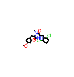 COc1ccc(C=c2c(=O)[nH]c(=Cc3c(Cl)cccc3Cl)c(=O)n2C)cc1